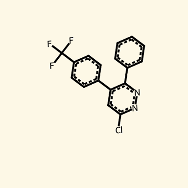 FC(F)(F)c1ccc(-c2cc(Cl)nnc2-c2ccccc2)cc1